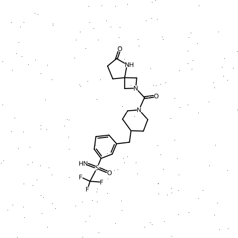 N=S(=O)(c1cccc(CC2CCN(C(=O)N3CC4(CCC(=O)N4)C3)CC2)c1)C(F)(F)F